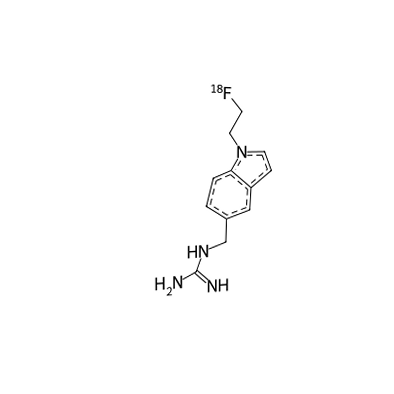 N=C(N)NCc1ccc2c(ccn2CC[18F])c1